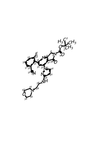 CC(C)(C)OC(=O)N1Cc2nc(-c3c(F)cccc3C#N)cc(-n3ccc(NCCN4CCOCC4)n3)c2C1=O